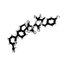 CC(N(Cc1ccc(F)cc1)C(=O)CN1C(=O)O[C@@]2(CCc3cc(-c4cccc(C#N)n4)ccc32)C1=O)C(F)(F)F